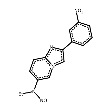 CCN(N=O)c1ccc2nc(-c3cccc([N+](=O)[O-])c3)cn2c1